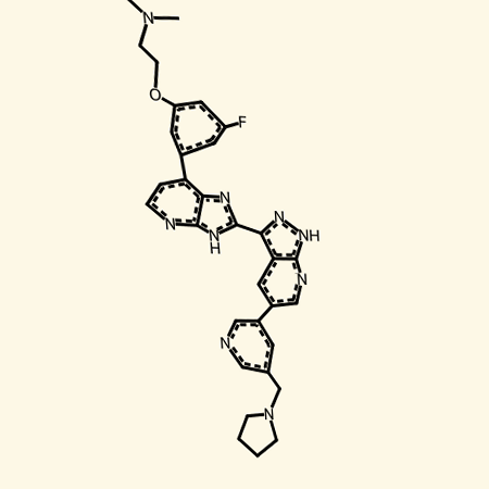 CN(C)CCOc1cc(F)cc(-c2ccnc3[nH]c(-c4n[nH]c5ncc(-c6cncc(CN7CCCC7)c6)cc45)nc23)c1